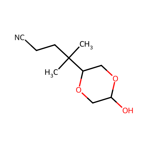 CC(C)(CCC#N)C1COC(O)CO1